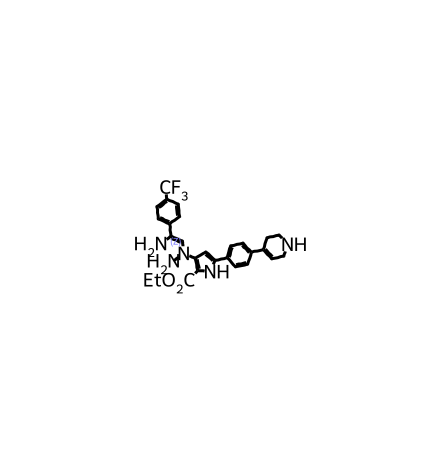 CCOC(=O)c1[nH]c(-c2ccc(C3=CCNCC3)cc2)cc1N(N)/C=C(\N)c1ccc(C(F)(F)F)cc1